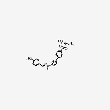 CN(C)S(=O)(=O)c1ccc(-c2csc(N/N=C/c3ccc(O)cc3)n2)cc1